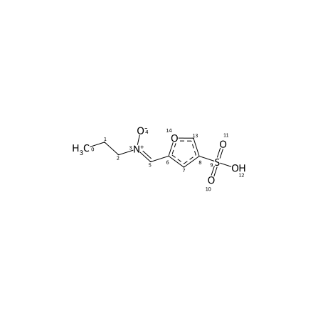 CCC[N+]([O-])=Cc1cc(S(=O)(=O)O)co1